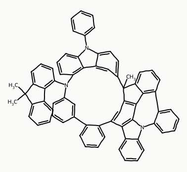 CC1(C)c2ccccc2-c2c(N3c4cccc(c4)-c4ccccc4-c4cc5c6c7c4c4ccccc4n7-c4ccccc4-c4cccc(c4-6)C5(C)c4ccc5c(c4)c4c3cccc4n5-c3ccccc3)cccc21